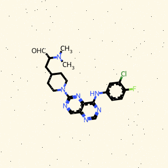 CN(C)C(C=O)CC1CCN(c2ncc3ncnc(Nc4ccc(F)c(Cl)c4)c3n2)CC1